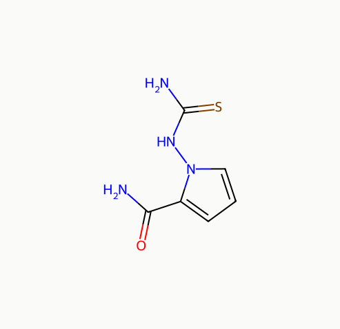 NC(=O)c1cccn1NC(N)=S